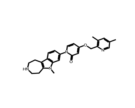 Cc1cnc(COc2ccn(-c3ccc4c5c(n(C)c4c3)CCNCC5)c(=O)c2)c(C)c1